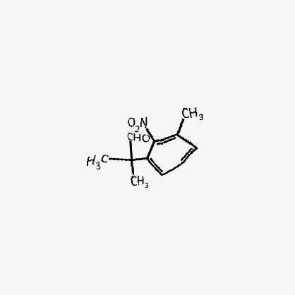 Cc1cccc(C(C)(C)C=O)c1[N+](=O)[O-]